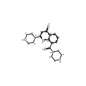 O=C(c1cccc2c(=O)cc(N3CCOCC3)oc12)N1CCOCC1